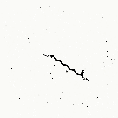 CCCCCCCCCCCCCCCCCC(=O)OC(C)=O.[Zr]